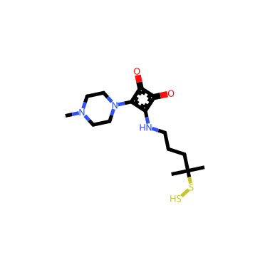 CN1CCN(c2c(NCCCC(C)(C)SS)c(=O)c2=O)CC1